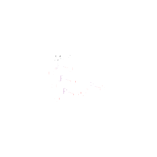 O=P[O-].O=P[O-].O=P[O-].O=P[O-].[Mo+4]